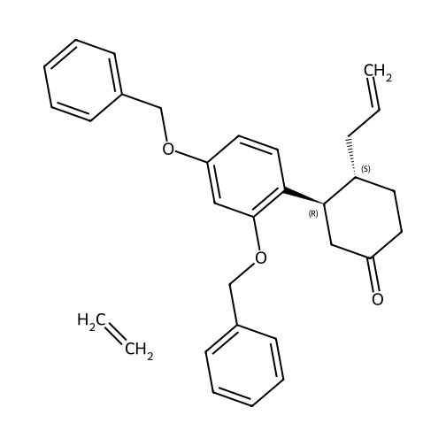 C=C.C=CC[C@@H]1CCC(=O)C[C@H]1c1ccc(OCc2ccccc2)cc1OCc1ccccc1